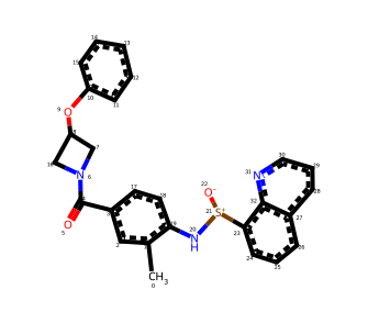 Cc1cc(C(=O)N2CC(Oc3ccccc3)C2)ccc1N[S+]([O-])c1cccc2cccnc12